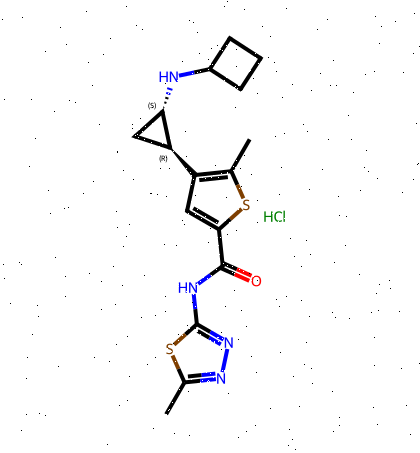 Cc1nnc(NC(=O)c2cc([C@H]3C[C@@H]3NC3CCC3)c(C)s2)s1.Cl